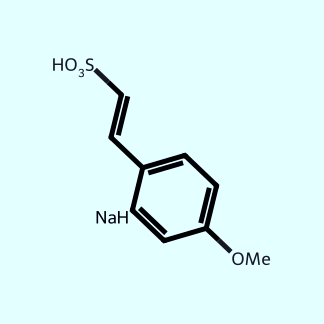 COc1ccc(C=CS(=O)(=O)O)cc1.[NaH]